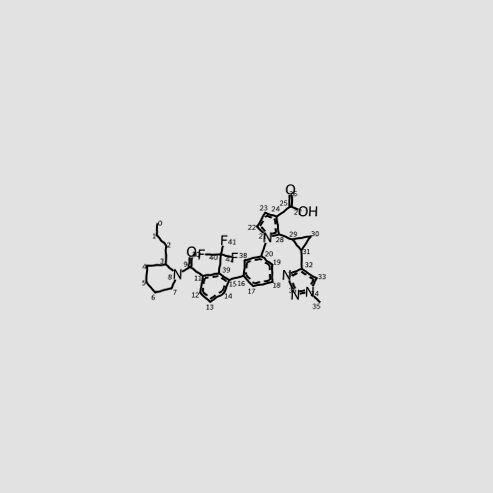 CCCC1CCCCN1C(=O)c1cccc(-c2cccc(-n3ccc(C(=O)O)c3C3CC3c3cn(C)nn3)c2)c1C(F)(F)F